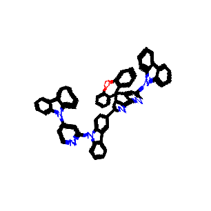 c1ccc2c(c1)Oc1ccccc1C21c2cc(-c3ccc4c(c3)c3ccccc3n4-c3cc(-n4c5ccccc5c5ccccc54)ccn3)cnc2-c2ncc(-n3c4ccccc4c4ccccc43)cc21